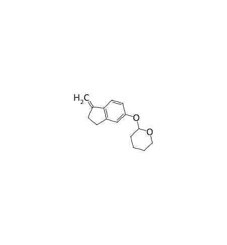 C=C1CCc2cc(OC3CCCCO3)ccc21